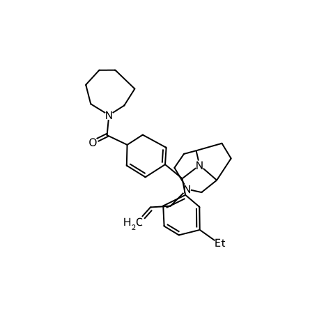 C=CCN1CCC2CCC(C1)N2C(C1=CCC(C(=O)N2CCCCCC2)C=C1)c1cccc(CC)c1